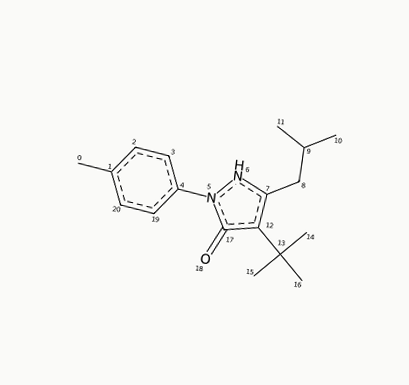 Cc1ccc(-n2[nH]c(CC(C)C)c(C(C)(C)C)c2=O)cc1